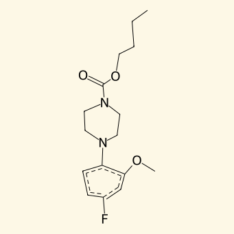 CCCCOC(=O)N1CCN(c2ccc(F)cc2OC)CC1